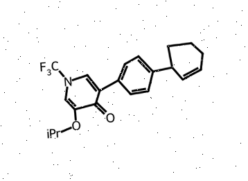 CC(C)Oc1cn(C(F)(F)F)cc(-c2ccc(C3C=CCCC3)cc2)c1=O